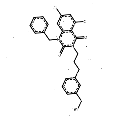 CC(C)Cc1cccc(CCCn2c(=O)c3c(Cl)cc(Cl)cc3n(Cc3ccccc3)c2=O)c1